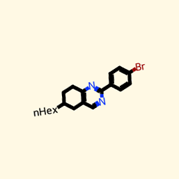 CCCCCCC1CCc2nc(-c3ccc(Br)cc3)ncc2C1